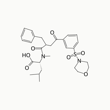 CC(C)C[C@H](C(=O)O)N(C)C(=O)C(CC(=O)c1cccc(S(=O)(=O)N2CCOCC2)c1)Cc1ccccc1